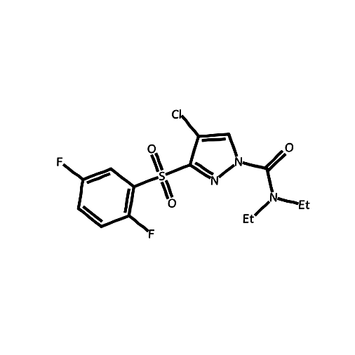 CCN(CC)C(=O)n1cc(Cl)c(S(=O)(=O)c2cc(F)ccc2F)n1